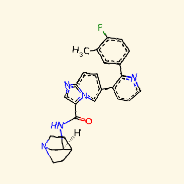 Cc1cc(-c2ncccc2-c2ccc3ncc(C(=O)N[C@@H]4CN5CCC4CC5)n3c2)ccc1F